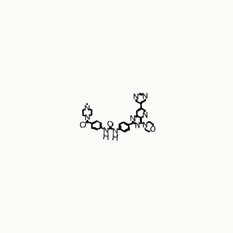 CN1CCN(C(=O)c2ccc(NC(=O)Nc3ccc(-c4nc(N5CCOCC5)c5ncc(-c6cncnc6)cc5n4)cc3)cc2)CC1